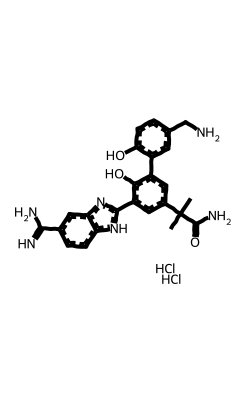 CC(C)(C(N)=O)c1cc(-c2nc3cc(C(=N)N)ccc3[nH]2)c(O)c(-c2cc(CN)ccc2O)c1.Cl.Cl